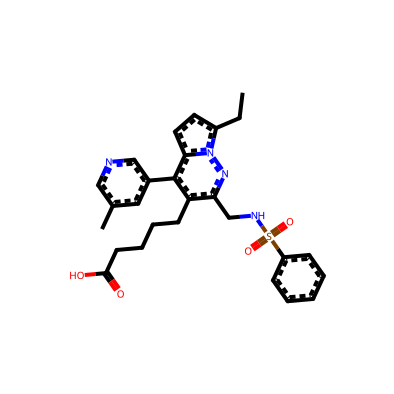 CCc1ccc2c(-c3cncc(C)c3)c(CCCCC(=O)O)c(CNS(=O)(=O)c3ccccc3)nn12